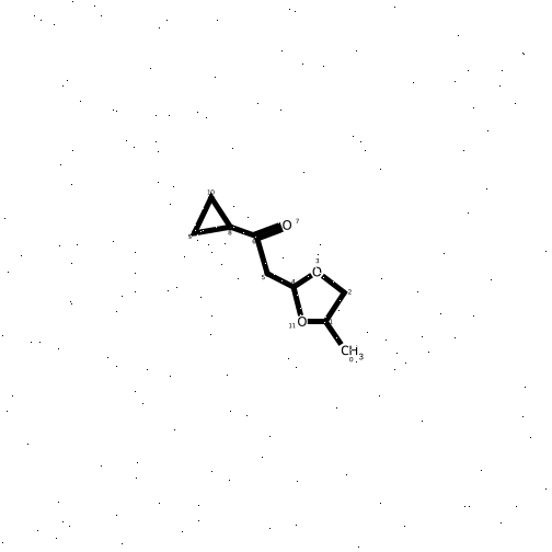 CC1COC(CC(=O)C2CC2)O1